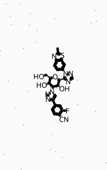 Cc1nc2ccc(-n3ncnc3[C@@H]3O[C@H](CO)[C@H](O)[C@H](n4cc(-c5ccc(C#N)c(F)c5)nn4)[C@H]3O)cc2s1